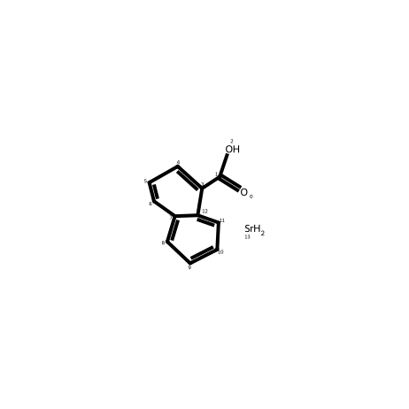 O=C(O)c1cccc2ccccc12.[SrH2]